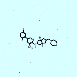 Cc1ccc(F)cc1-c1cc(C(F)(F)F)c(N[C@@H]2C[C@@H]3CN(CC4CCOCC4)C[C@@H]3C2)nn1